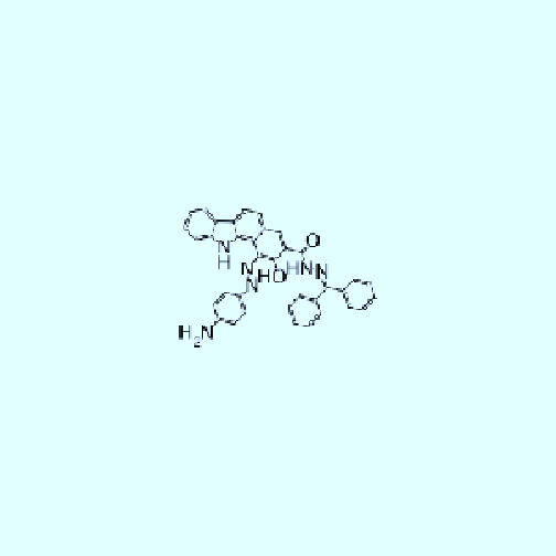 Nc1ccc(N=Nc2c(O)c(C(=O)NN=C(c3ccccc3)c3ccccc3)cc3ccc4c5ccccc5[nH]c4c23)cc1